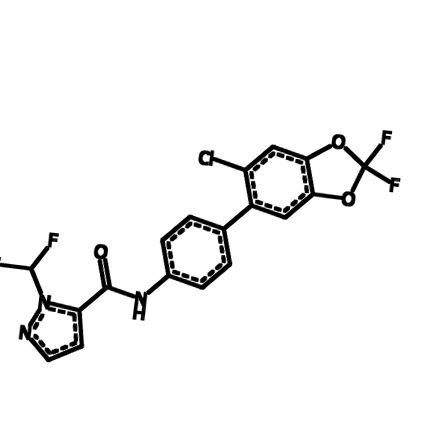 O=C(Nc1ccc(-c2cc3c(cc2Cl)OC(F)(F)O3)cc1)c1ccnn1C(F)F